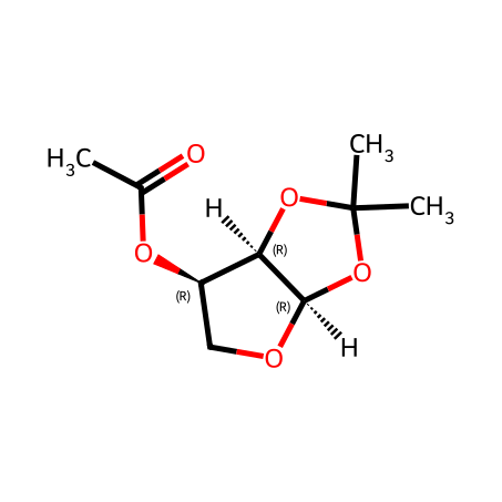 CC(=O)O[C@@H]1CO[C@@H]2OC(C)(C)O[C@@H]21